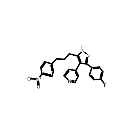 O=[N+]([O-])c1ccc(CCCc2[nH]nc(-c3ccc(F)cc3)c2-c2ccncc2)cc1